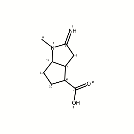 CN1C(=N)CC2C(C(=O)O)CCC21